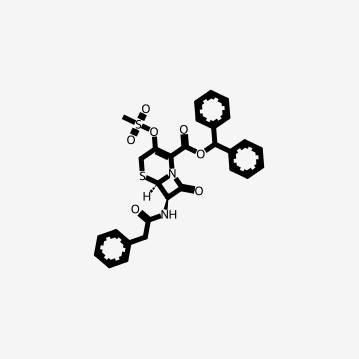 CS(=O)(=O)OC1=C(C(=O)OC(c2ccccc2)c2ccccc2)N2C(=O)[C@@H](NC(=O)Cc3ccccc3)[C@H]2SC1